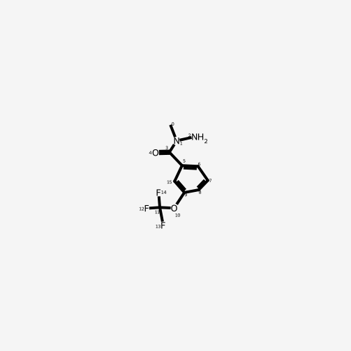 CN(N)C(=O)c1cccc(OC(F)(F)F)c1